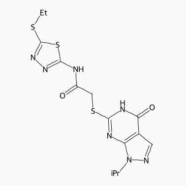 CCSc1nnc(NC(=O)CSc2nc3c(cnn3C(C)C)c(=O)[nH]2)s1